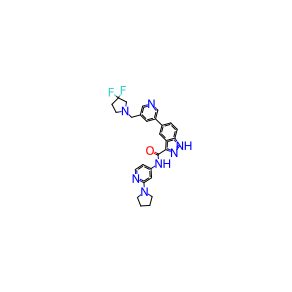 O=C(Nc1ccnc(N2CCCC2)c1)c1n[nH]c2ccc(-c3cncc(CN4CCC(F)(F)C4)c3)cc12